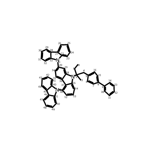 CCC(C)(Cc1ccc(-c2ccccc2)cc1)n1c2cc(-n3c4ccccc4c4ccccc43)ccc2c2c(-n3c4ccccc4c4ccccc43)cccc21